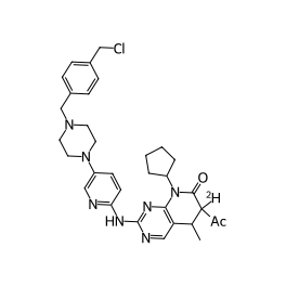 [2H]C1(C(C)=O)C(=O)N(C2CCCC2)c2nc(Nc3ccc(N4CCN(Cc5ccc(CCl)cc5)CC4)cn3)ncc2C1C